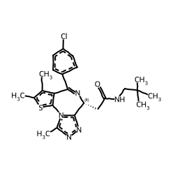 Cc1sc2c(c1C)C(c1ccc(Cl)cc1)=N[C@H](CC(=O)NCC(C)(C)C)c1nnc(C)n1-2